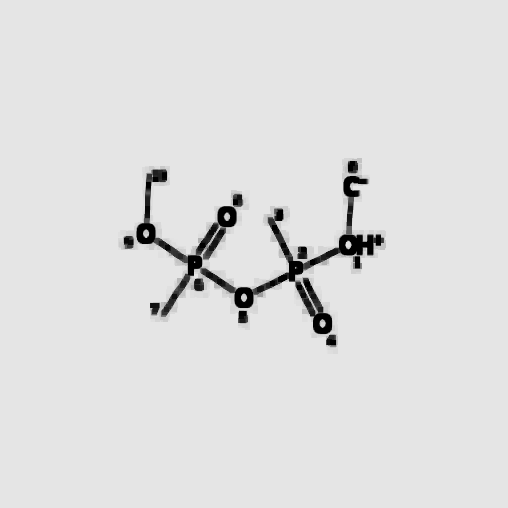 [CH2-][OH+]P(C)(=O)OP(C)(=O)OC